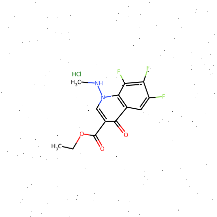 CCOC(=O)c1cn(NC)c2c(F)c(F)c(F)cc2c1=O.Cl